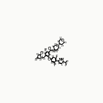 CC(C)c1ccc(-c2c(F)cc(Oc3cc(C(=O)NC4CCN(C5CCOCC5)CC4)c(F)cc3CN3C[C@@H](C)CC3=O)cc2F)nn1